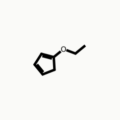 CCOC1=CC=CC1